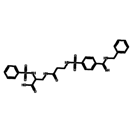 N=C(NCc1ccccc1)c1ccc(S(=O)(=O)NCCC(=O)NCC(NS(=O)(=O)c2ccccc2)C(=O)O)cc1